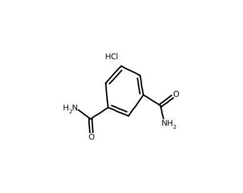 Cl.NC(=O)c1cccc(C(N)=O)c1